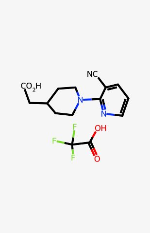 N#Cc1cccnc1N1CCC(CC(=O)O)CC1.O=C(O)C(F)(F)F